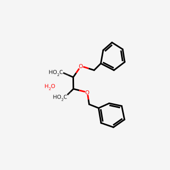 O.O=C(O)C(OCc1ccccc1)C(OCc1ccccc1)C(=O)O